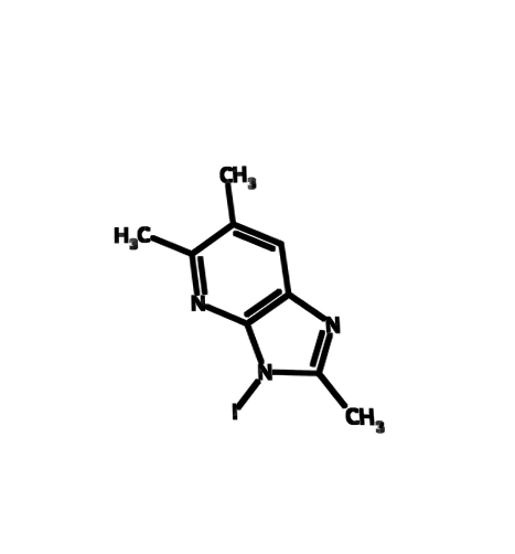 Cc1cc2nc(C)n(I)c2nc1C